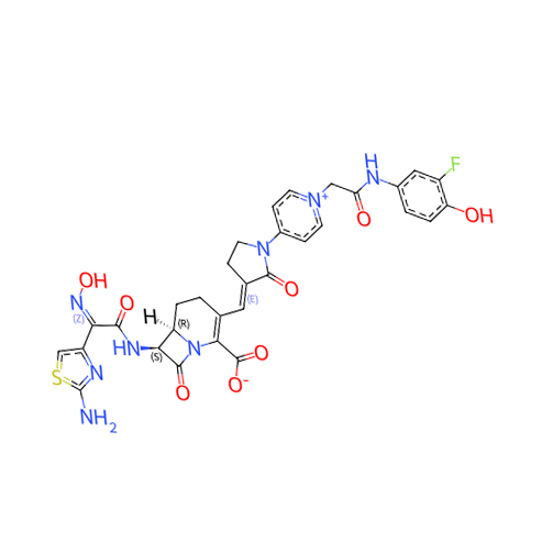 Nc1nc(/C(=N/O)C(=O)N[C@@H]2C(=O)N3C(C(=O)[O-])=C(/C=C4\CCN(c5cc[n+](CC(=O)Nc6ccc(O)c(F)c6)cc5)C4=O)CC[C@H]23)cs1